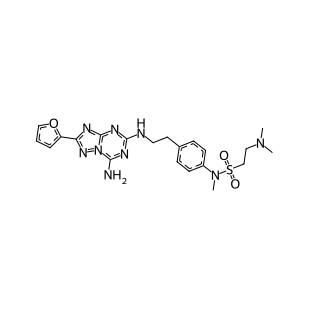 CN(C)CCS(=O)(=O)N(C)c1ccc(CCNc2nc(N)n3nc(-c4ccco4)nc3n2)cc1